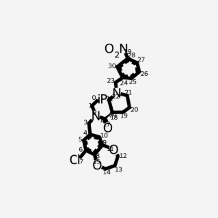 CC(C)CN(Cc1cc(Cl)c2c(c1)OCCCO2)C(=O)[C@@H]1CCCN(Cc2cccc([N+](=O)[O-])c2)C1